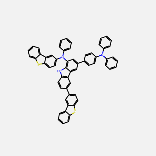 c1ccc(N(c2ccccc2)c2ccc(-c3cc(N(c4ccccc4)c4ccc5sc6ccccc6c5c4)c4[nH]c5ccc(-c6ccc7sc8ccccc8c7c6)cc5c4c3)cc2)cc1